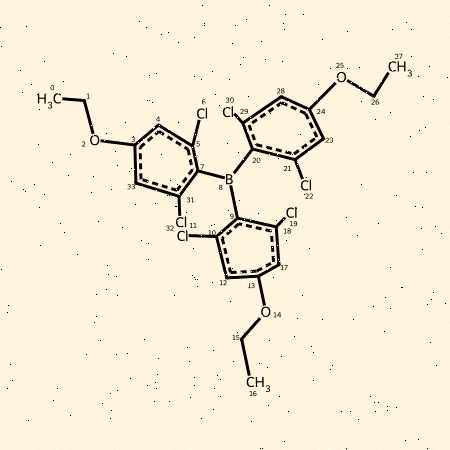 CCOc1cc(Cl)c(B(c2c(Cl)cc(OCC)cc2Cl)c2c(Cl)cc(OCC)cc2Cl)c(Cl)c1